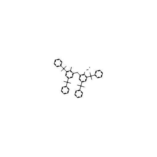 Cc1c(Cc2cc(C(C)(C)c3ccccc3)cc(C(C)(C)c3ccccc3)c2OPF)cc(C(C)(C)c2ccccc2)cc1C(C)(C)c1ccccc1